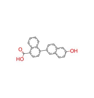 O=C(O)c1ccc(-c2ccc3cc(O)ccc3c2)c2ccccc12